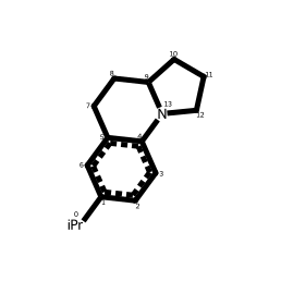 CC(C)c1ccc2c(c1)CCC1CCCN21